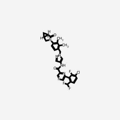 Cc1c(Cn2cc(NC(=O)c3cncc(-c4c(C(F)F)ccc(Cl)c4F)n3)cn2)ccc(N2C[C@H]3C[C@H]3C2=O)c1C